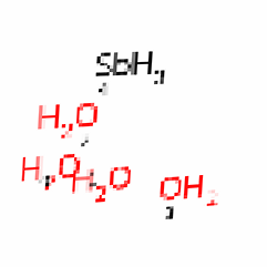 O.O.O.O.[SbH3]